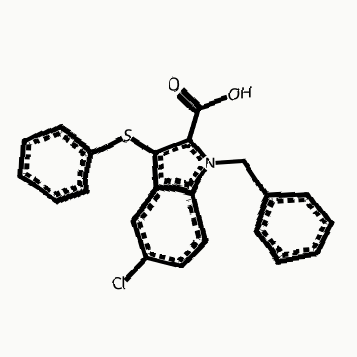 O=C(O)c1c(Sc2ccccc2)c2cc(Cl)ccc2n1Cc1ccccc1